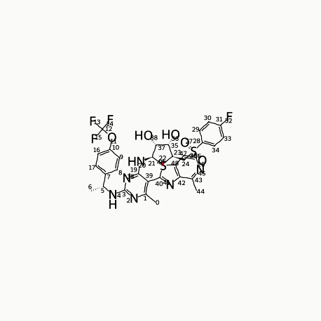 Cc1nc(N[C@H](C)c2ccc(OC(F)(F)F)cc2)nc(N[C@@H]2C[C@H](CS(=O)(=O)c3ccc(F)cc3)[C@@H](O)[C@H]2O)c1-c1nc2c(C)nccc2s1